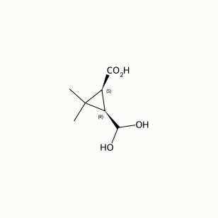 CC1(C)[C@H](C(O)O)[C@@H]1C(=O)O